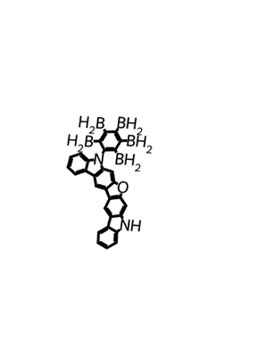 Bc1c(B)c(B)c(-n2c3ccccc3c3cc4c(cc32)oc2cc3[nH]c5ccccc5c3cc24)c(B)c1B